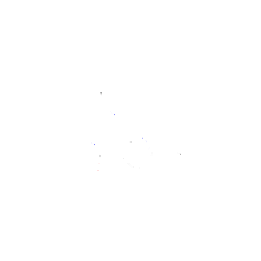 N#Cc1ccc(C(N)=O)cn1.O=C(O)[C@@H]1CCCN1C1CCCCC1